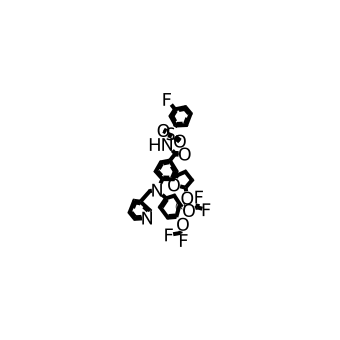 O=C(NS(=O)(=O)c1cccc(F)c1)c1ccc(N(Cc2cccnc2)C2=CC=C(OC(F)F)[C@@](OC(F)F)(OC3CCCO3)C2)cc1